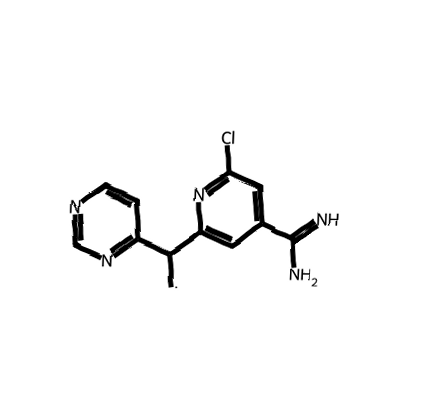 [CH2]C(c1ccncn1)c1cc(C(=N)N)cc(Cl)n1